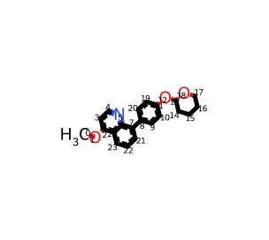 COc1ccnc2c(-c3ccc(OC4CCCCO4)cc3)cccc12